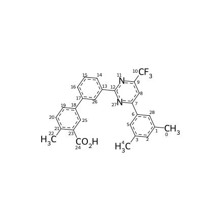 Cc1cc(C)cc(-c2cc(C(F)(F)F)nc(-c3cccc(-c4ccc(C)c(C(=O)O)c4)c3)n2)c1